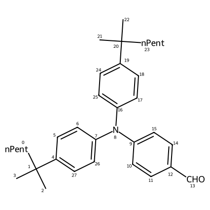 CCCCCC(C)(C)c1ccc(N(c2ccc(C=O)cc2)c2ccc(C(C)(C)CCCCC)cc2)cc1